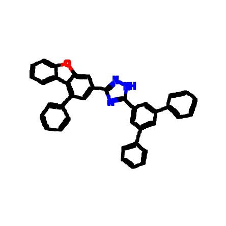 c1ccc(-c2cc(-c3ccccc3)cc(-c3nc(-c4cc(-c5ccccc5)c5c(c4)oc4ccccc45)n[nH]3)c2)cc1